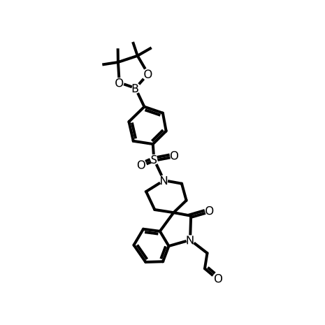 CC1(C)OB(c2ccc(S(=O)(=O)N3CCC4(CC3)C(=O)N(CC=O)c3ccccc34)cc2)OC1(C)C